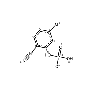 N#[N+]c1ccc(Cl)cc1.O=P([O-])(O)O